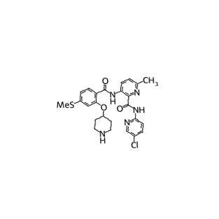 CSc1ccc(C(=O)Nc2ccc(C)nc2C(=O)Nc2ccc(Cl)cn2)c(OC2CCNCC2)c1